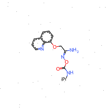 CC(C)NC(=O)ON=C(N)COc1cccc2cccnc12